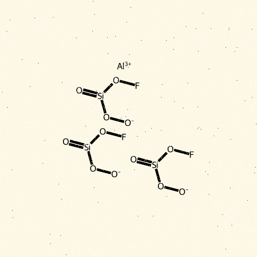 O=[Si](O[O-])OF.O=[Si](O[O-])OF.O=[Si](O[O-])OF.[Al+3]